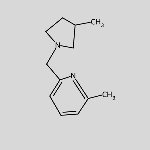 Cc1cccc(CN2CCC(C)C2)n1